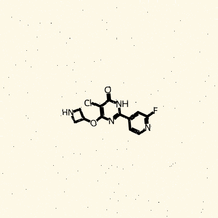 O=c1[nH]c(-c2ccnc(F)c2)nc(OC2CNC2)c1Cl